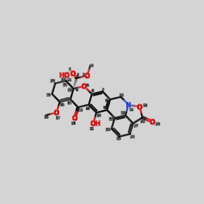 COC(=O)[C@]12Oc3cc4c(c(O)c3C(=O)C1=C(OC)CC[C@@H]2O)-c1cccc2c(=O)on(c12)C4